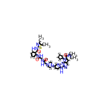 Cc1nc(NC(=O)c2ccccc2NC(=O)CNC(=O)CN2CCN(c3ccc(Nc4ncc5cc(C(=O)N(C)C)n(C6CCCC6)c5n4)nc3)CC2)sc1C